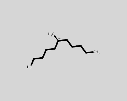 CCCCC[C@H](C)CCCCS